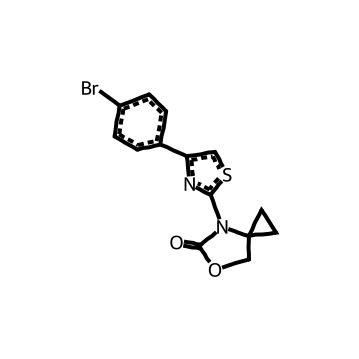 O=C1OCC2(CC2)N1c1nc(-c2ccc(Br)cc2)cs1